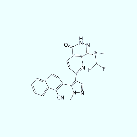 C[C@@H](c1n[nH]c(=O)c2ccc(-c3cnn(C)c3-c3ccc4ccccc4c3C#N)nc12)C(F)F